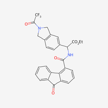 CCOC(=O)C(NC(=O)c1cccc2c1-c1ccccc1C2=O)c1ccc2c(c1)CN(C(=O)C(F)(F)F)C2